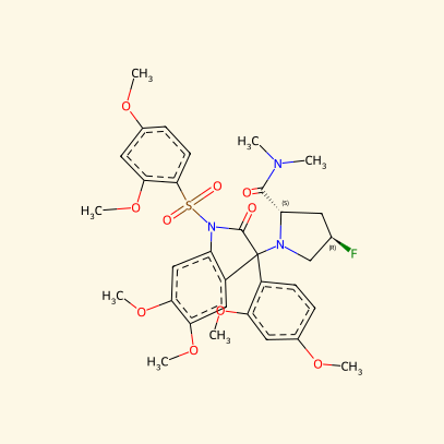 COc1ccc(C2(N3C[C@H](F)C[C@H]3C(=O)N(C)C)C(=O)N(S(=O)(=O)c3ccc(OC)cc3OC)c3cc(OC)c(OC)cc32)c(OC)c1